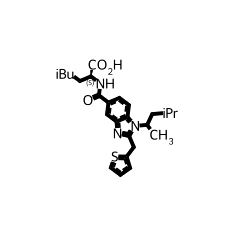 CCC(C)C[C@H](NC(=O)c1ccc2c(c1)nc(Cc1cccs1)n2C(C)CC(C)C)C(=O)O